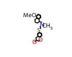 COc1cccc2c1CCCC2CN(C)CCSc1ccc2c(c1)CC(=O)CO2